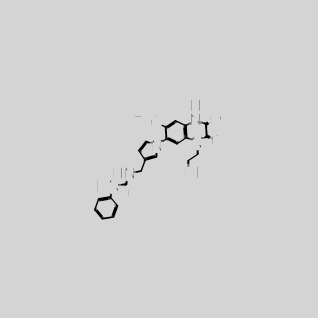 O=C(NCc1ccn(-c2cc3c(cc2C(F)(F)F)[nH]c(=O)c(=O)n3CCO)c1)Nc1ccccc1